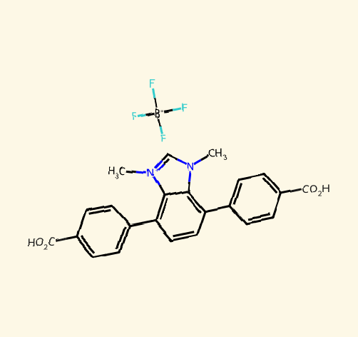 Cn1c[n+](C)c2c(-c3ccc(C(=O)O)cc3)ccc(-c3ccc(C(=O)O)cc3)c21.F[B-](F)(F)F